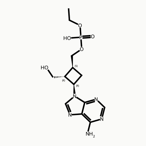 CCOP(=O)(O)OC[C@H]1C[C@@H](n2cnc3c(N)ncnc32)[C@@H]1CO